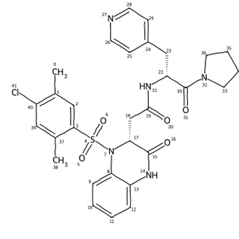 Cc1cc(S(=O)(=O)N2c3ccccc3NC(=O)[C@H]2CC(=O)N[C@H](Cc2ccncc2)C(=O)N2CCCC2)c(C)cc1Cl